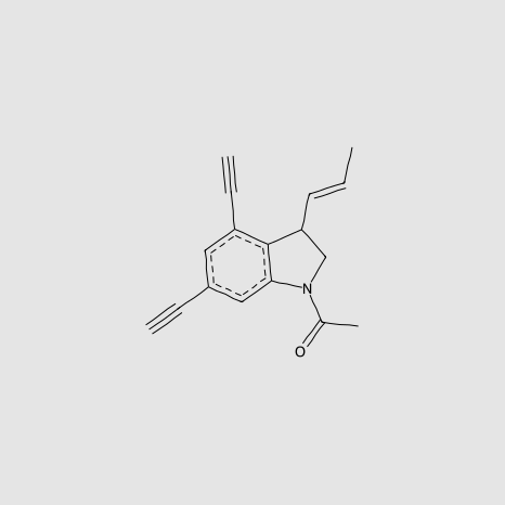 C#Cc1cc(C#C)c2c(c1)N(C(C)=O)CC2/C=C/C